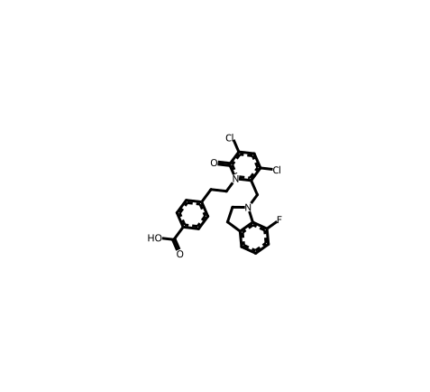 O=C(O)c1ccc(CCn2c(CN3CCc4cccc(F)c43)c(Cl)cc(Cl)c2=O)cc1